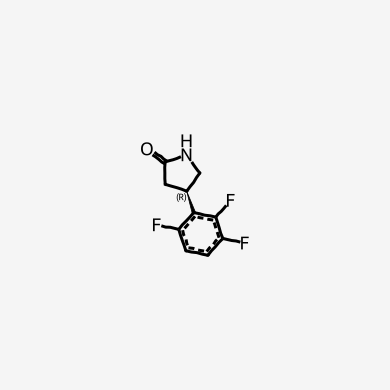 O=C1C[C@H](c2c(F)ccc(F)c2F)CN1